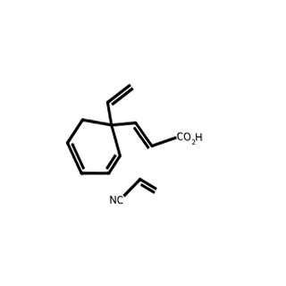 C=CC#N.C=CC1(C=CC(=O)O)C=CC=CC1